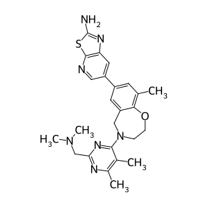 Cc1cc(-c2cnc3sc(N)nc3c2)cc2c1OCCN(c1nc(CN(C)C)nc(C)c1C)C2